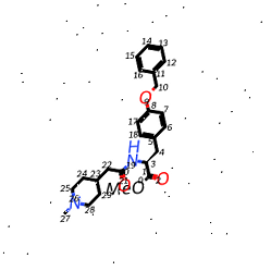 COC(=O)[C@H](Cc1ccc(OCc2ccccc2)cc1)NC(=O)CC1CCN(C)CC1